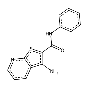 Nc1c(C(=O)Nc2ccccc2)sc2ncccc12